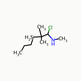 CCC[SiH2]C(C)(C)C(Cl)NC